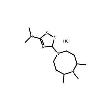 CC1CCN(C2N=C(N(C)C)SS2)CCC(C)N1C.Cl